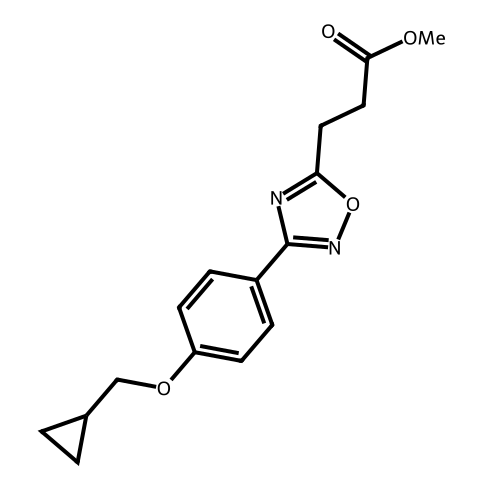 COC(=O)CCc1nc(-c2ccc(OCC3CC3)cc2)no1